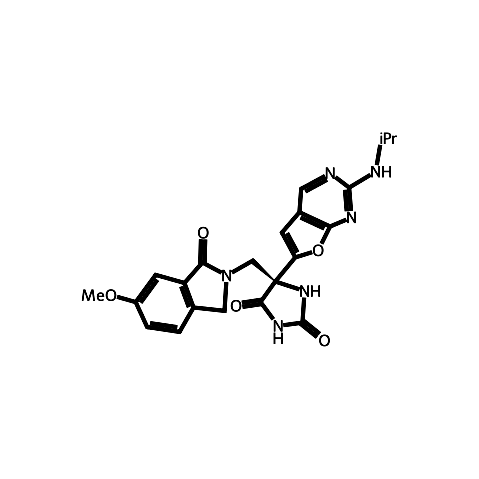 COc1ccc2c(c1)C(=O)N(C[C@@]1(c3cc4cnc(NC(C)C)nc4o3)NC(=O)NC1=O)C2